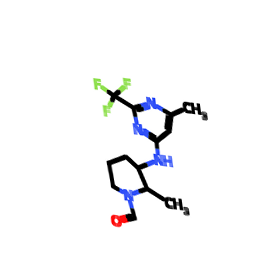 Cc1cc(NC2CCCN(C=O)C2C)nc(C(F)(F)F)n1